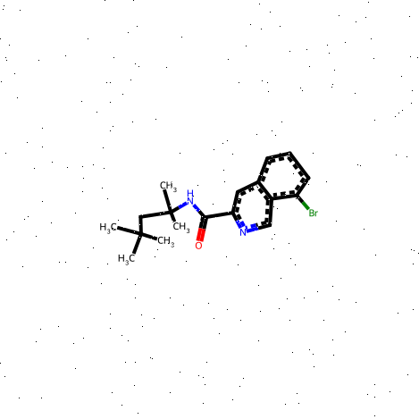 CC(C)(C)CC(C)(C)NC(=O)c1cc2cccc(Br)c2cn1